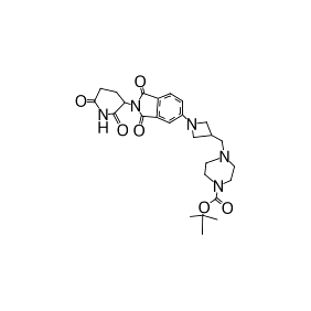 CC(C)(C)OC(=O)N1CCN(CC2CN(c3ccc4c(c3)C(=O)N(C3CCC(=O)NC3=O)C4=O)C2)CC1